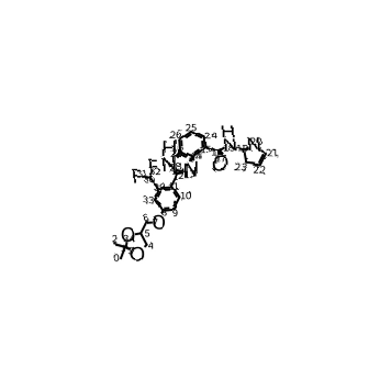 CC1(C)OCC(COc2ccc(-c3nc4c(C(=O)NC5=NC=CC5)cccc4[nH]3)c(C(F)F)c2)O1